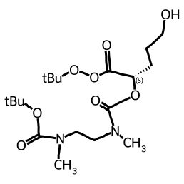 CN(CCN(C)C(=O)OC(C)(C)C)C(=O)O[C@@H](CCCO)C(=O)OOC(C)(C)C